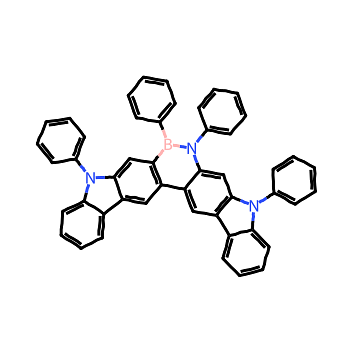 c1ccc(B2c3cc4c(cc3-c3cc5c6ccccc6n(-c6ccccc6)c5cc3N2c2ccccc2)c2ccccc2n4-c2ccccc2)cc1